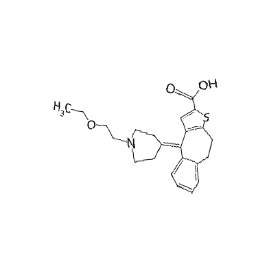 CCOCCN1CCC(=C2c3ccccc3CCc3sc(C(=O)O)cc32)CC1